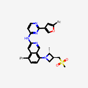 CC(=O)c1cc(-c2nccc(Nc3cc4c(C(C)C)ccc(N5C[C@H](CS(C)(=O)=O)[C@H]5C)c4cn3)n2)co1